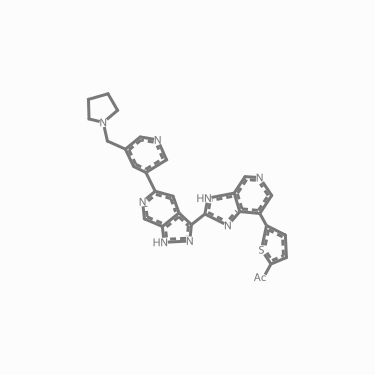 CC(=O)c1ccc(-c2cncc3[nH]c(-c4n[nH]c5cnc(-c6cncc(CN7CCCC7)c6)cc45)nc23)s1